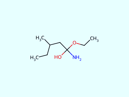 CCOC(N)(O)CC(C)CC